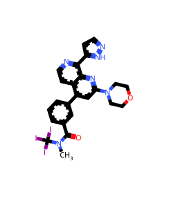 CN(C(=O)c1cccc(-c2cc(N3CCOCC3)nc3c(-c4ccn[nH]4)nccc23)c1)C(I)(I)I